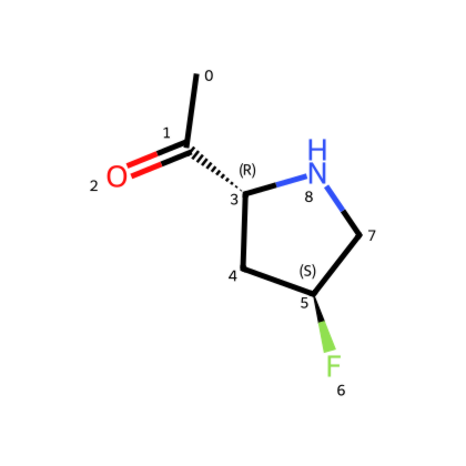 CC(=O)[C@H]1C[C@H](F)CN1